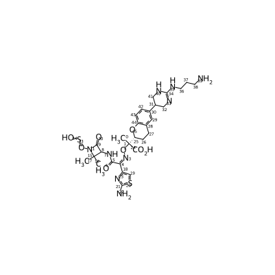 CC(O/N=C(\C(=O)NC1C(=O)N(OSO)C1(C)C)c1csc(N)n1)(C(=O)O)[C@H]1CCc2cc(C3CN=C(NCCCN)NC3)ccc2O1